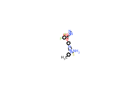 Cc1ccc(N(C(N)=S)N2CCN(c3ccc(OCC(O)(Cn4cncn4)c4ccc(F)cc4F)cc3)CC2)cc1